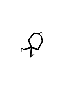 CC(C)C1(F)CCOCC1